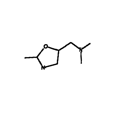 CC1[N]CC(CN(C)C)O1